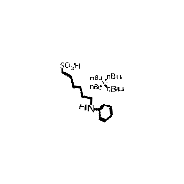 CCCC[N+](CCCC)(CCCC)CCCC.O=S(=O)(O)CCCCCCNc1ccccc1